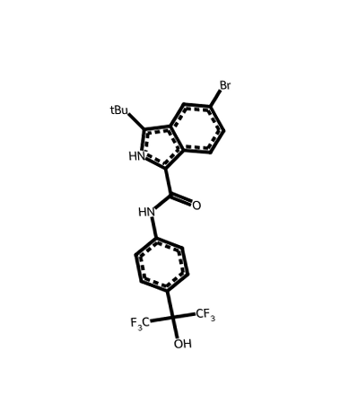 CC(C)(C)c1[nH]c(C(=O)Nc2ccc(C(O)(C(F)(F)F)C(F)(F)F)cc2)c2ccc(Br)cc12